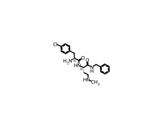 CNCC[C@H](NC(=O)[C@@H](N)Cc1ccc(Cl)cc1)C(=O)NCc1ccccc1